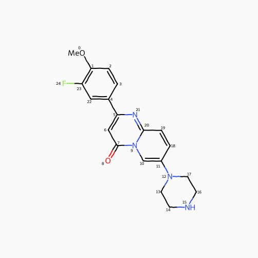 COc1ccc(-c2cc(=O)n3cc(N4CCNCC4)ccc3n2)cc1F